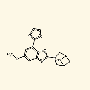 CSc1cc(-c2nccs2)c2oc(N3CC4CC(C3)N4)nc2c1